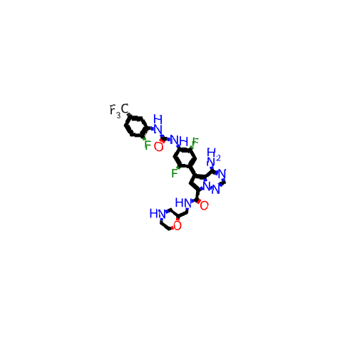 Nc1ncnn2c(C(=O)NCC3CNCCO3)cc(-c3cc(F)c(NC(=O)Nc4cc(C(F)(F)F)ccc4F)cc3F)c12